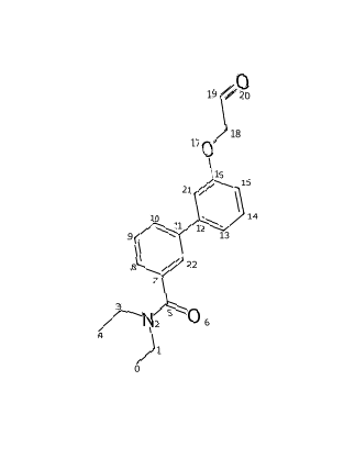 CCN(CC)C(=O)c1cccc(-c2cccc(OCC=O)c2)c1